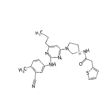 CCCc1cc(N2CC[C@H](NC(=O)Cc3cccs3)C2)nc(Nc2ccc(C)c(C#N)c2)n1